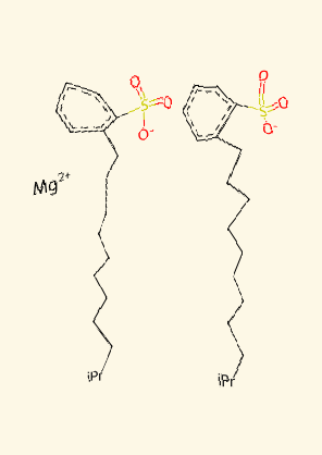 CC(C)CCCCCCCCCc1ccccc1S(=O)(=O)[O-].CC(C)CCCCCCCCCc1ccccc1S(=O)(=O)[O-].[Mg+2]